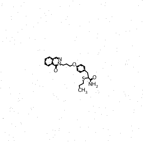 CCCSC(Cc1ccc(OCCCn2ncc3ccccc3c2=O)cc1)C(N)=O